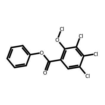 O=C(Oc1ccccc1)c1cc(Cl)c(Cl)c(Cl)c1OCl